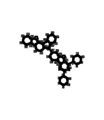 c1ccc(-c2nc(-c3ccccc3)c3oc4cc(-n5c6ccccc6c6c7oc8ccccc8c7ccc65)ccc4c3n2)cc1